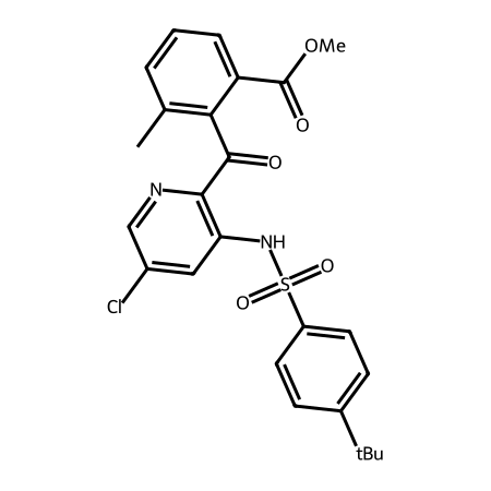 COC(=O)c1cccc(C)c1C(=O)c1ncc(Cl)cc1NS(=O)(=O)c1ccc(C(C)(C)C)cc1